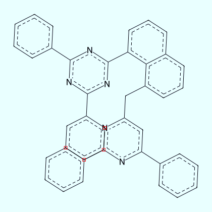 c1ccc(-c2cc(Cc3cccc4cccc(-c5nc(-c6ccccc6)nc(-c6ccccc6)n5)c34)nc(-c3ccccc3)n2)cc1